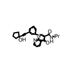 CC(C)NC(=O)c1cn(-c2cccc(C#CC3(O)CCCC3)c2)c2ncccc2c1=O